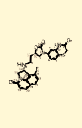 O=C1CSc2ccc(N3C[C@@H](CCN[C@H]4Cn5c(=O)ccc6ccc(F)c4c65)OC3=O)cc2N1